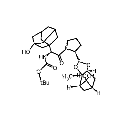 CC(C)(C)OC(=O)N[C@H](C(=O)N1CCC[C@H]1B1O[C@@H]2C[C@@H]3C[C@@H](C3(C)C)[C@]2(C)O1)C12CC3CC(CC(O)(C3)C1)C2